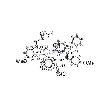 COc1ccc2c(c1)C(Cc1ccccc1)(Cc1ccccc1)C(/C=C/C(C#N)=C/C=C1/N(CCC(=O)O)c3ccc(OC)cc3C1(Cc1ccccc1)Cc1ccccc1)=[N+]2CCOC=O